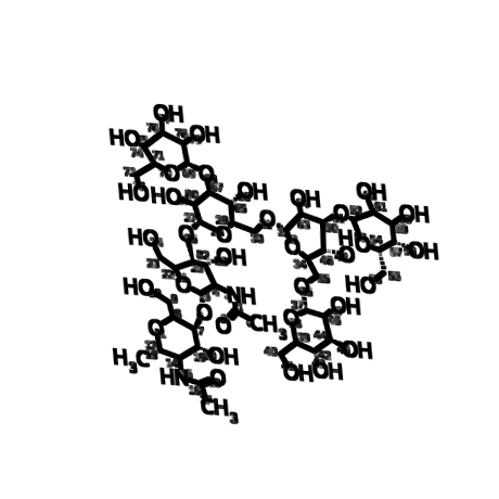 CC(=O)NC1[C@H](O[C@@H]2C(CO)O[C@@H](C)C(NC(C)=O)[C@H]2O)OC(CO)[C@@H](O[C@@H]2OC(CO[C@H]3OC(CO[C@H]4OC(CO)[C@@H](O)[C@H](O)C4O)[C@@H](O)[C@H](O[C@H]4O[C@@H](CO)[C@@H](O)C(O)C4O)C3O)[C@@H](O)[C@H](O[C@H]3OC(CO)[C@@H](O)C(O)C3O)C2O)[C@@H]1O